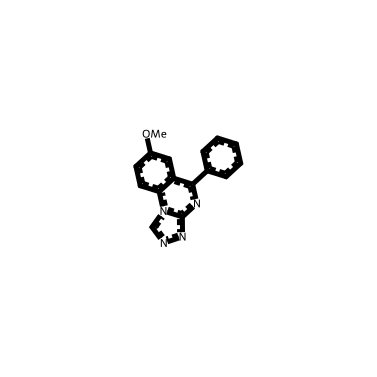 COc1ccc2c(c1)c(-c1ccccc1)nc1nncn12